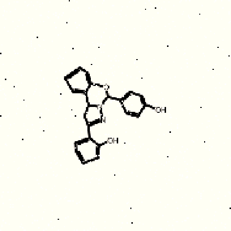 Oc1ccc(C2Oc3ccccc3C3CC(c4ccccc4O)=NN32)cc1